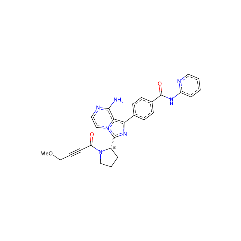 COCC#CC(=O)N1CCC[C@H]1c1nc(-c2ccc(C(=O)Nc3ccccn3)cc2)c2c(N)nccn12